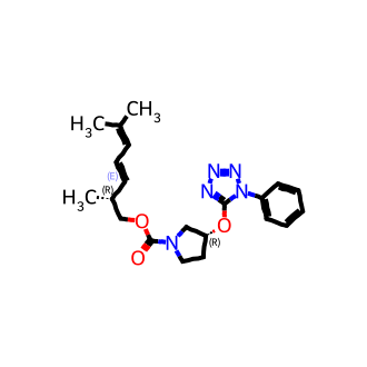 CC(C)=C/C=C/[C@@H](C)COC(=O)N1CC[C@@H](Oc2nnnn2-c2ccccc2)C1